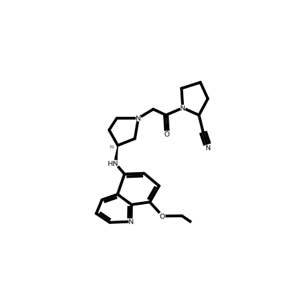 CCOc1ccc(N[C@H]2CCN(CC(=O)N3CCCC3C#N)C2)c2cccnc12